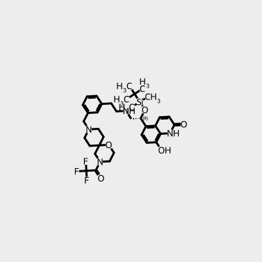 CC(C)(C)[Si](C)(C)O[C@@H](CNCCc1cccc(CN2CCC3(CC2)CN(C(=O)C(F)(F)F)CCO3)c1)c1ccc(O)c2[nH]c(=O)ccc12